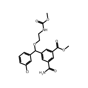 COC(=O)NCCOC(c1cccc(Cl)c1)c1cc(C(N)=O)cc(C(=O)OC)c1